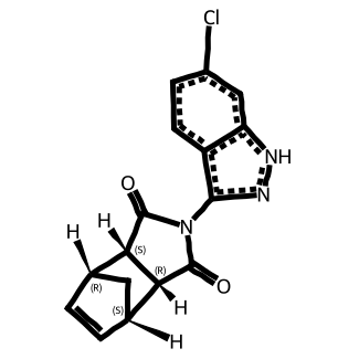 O=C1[C@@H]2[C@H](C(=O)N1c1n[nH]c3cc(Cl)ccc13)[C@@H]1C=C[C@H]2C1